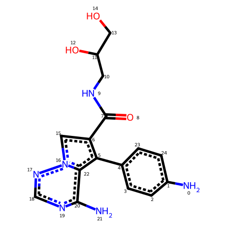 Nc1ccc(-c2c(C(=O)NCC(O)CO)cn3ncnc(N)c23)cc1